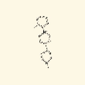 Cc1ccccc1-[n+]1ccc(-c2cc[n+](C)cc2)cc1